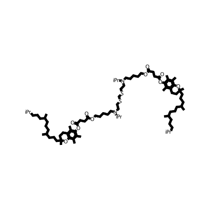 Cc1c(C)c2c(c(C)c1OC(=O)CCC(=O)OCCCCCN(CCSCSCCN(CCCCCOC(=O)CCC(=O)Oc1c(C)c(C)c3c(c1C)CCC(C)(CCCC(C)CCCC(C)CCCC(C)C)O3)C(C)C)C(C)C)CCC(C)(CCCC(C)CCCC(C)CCCC(C)C)O2